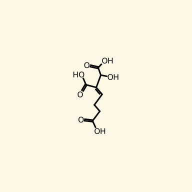 O=C(O)CCC=C(C(=O)O)C(O)C(=O)O